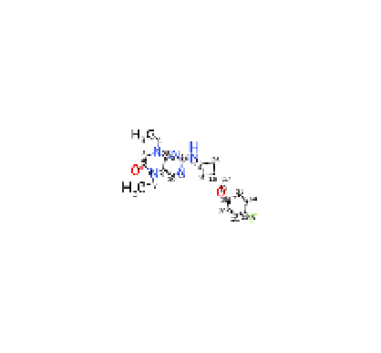 CCN1CC(=O)N(CC)c2cnc(N[C@H]3C[C@@H](COc4ccc(F)cc4)C3)nc21